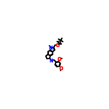 COc1ccc(C/N=C2/CCc3cc4c(cc32)cc(CO[Si](C)(C)C(C)(C)C)n4C)c(OC)c1